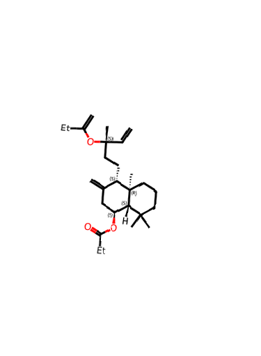 C=C[C@](C)(CC[C@H]1C(=C)C[C@H](OC(=O)CC)[C@H]2C(C)(C)CCC[C@]12C)OC(=C)CC